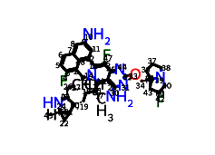 C#Cc1c(F)ccc2cc(N)cc(-c3nc([C@H](C)CC[C@@H]4C5C[C@@H]5N[C@H]4CC)c4c(N)nc(OC[C@@]56CCCN5C[C@H](F)C6)nc4c3F)c12